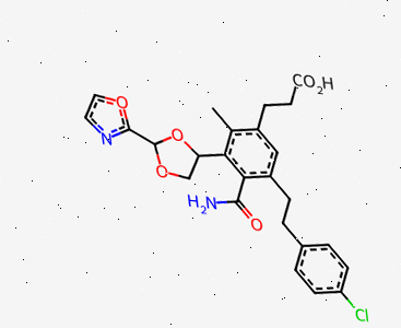 Cc1c(CCC(=O)O)cc(CCc2ccc(Cl)cc2)c(C(N)=O)c1C1COC(c2ncco2)O1